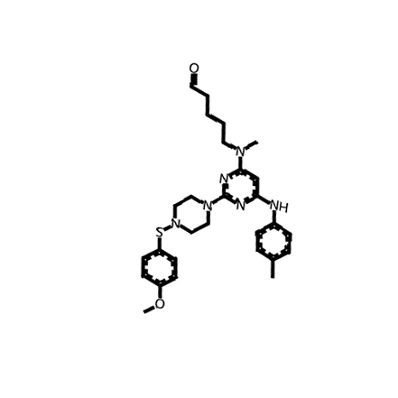 COc1ccc(SN2CCN(c3nc(Nc4ccc(C)cc4)cc(N(C)CCCCC=O)n3)CC2)cc1